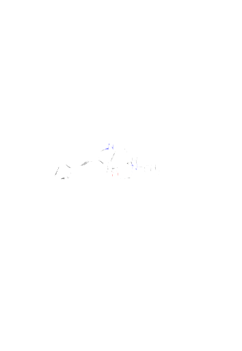 CCN1CCO[C@@H]2c3cc(C#Cc4ccccc4)cnc3CC[C@@H]21